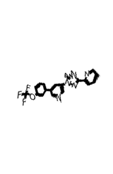 FC(F)(F)Oc1cccc(-c2cncc(-n3nnc(-c4ccccn4)n3)c2)c1